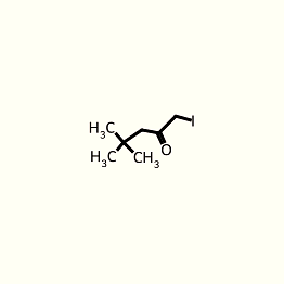 CC(C)(C)CC(=O)CI